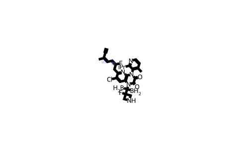 BC(B)(n1c(=O)c(=O)n(-c2c(C)ccnc2C(C)C)c2nc(C/C(F)=C\C=C(\C)C#C)c(Cl)cc21)C1(F)CNC1